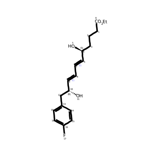 CCOC(=O)CCC[C@H](O)/C=C/C=C/[C@H](O)Cc1ccc(F)cc1